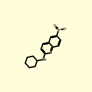 O=[N+]([O-])c1ccc2nc(NC3CCCCC3)ccc2c1